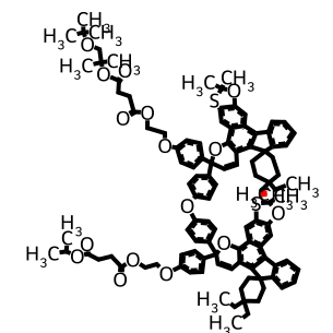 CCC1(CC)CCC2(CC1)c1ccccc1-c1c2c2c(c3cc4c(cc13)OC(C)(C)S4)OC(c1ccc(OCCOC(=O)CCC(=O)OC(C)C)cc1)(c1ccc(Oc3ccc(C4(c5ccc(OCCOC(=O)CCC(=O)OC(C)(C)COC(C)(C)C)cc5)C=Cc5c6c(c7cc8c(cc7c5O4)SC(C)(C)O8)-c4ccccc4C64CCC(CC)(CC)CC4)cc3)cc1)C=C2